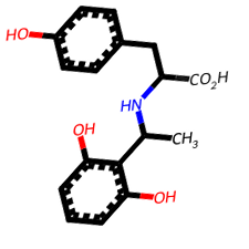 CC(NC(Cc1ccc(O)cc1)C(=O)O)c1c(O)cccc1O